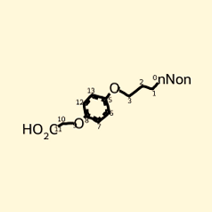 CCCCCCCCCCCCOc1ccc(OCC(=O)O)cc1